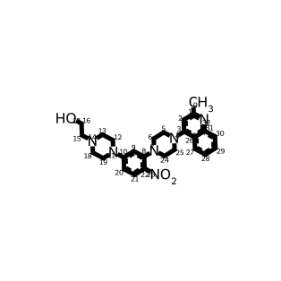 Cc1cc(N2CCN(c3cc(N4CCN(CCO)CC4)ccc3[N+](=O)[O-])CC2)c2ccccc2n1